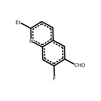 CCc1ccc2cc(C=O)c(F)cc2n1